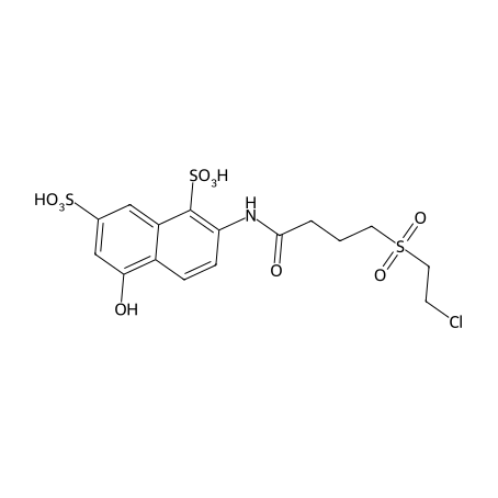 O=C(CCCS(=O)(=O)CCCl)Nc1ccc2c(O)cc(S(=O)(=O)O)cc2c1S(=O)(=O)O